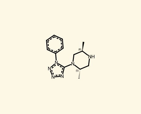 C[C@@H]1CN(c2nnnn2-c2ccccc2)[C@@H](C)CN1